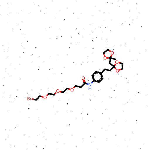 CC1(CC2(CCc3ccc(NC(=O)CCOCCOCCOCCBr)cc3)OCCO2)OCCO1